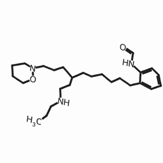 CCCNCCC(CCCCCCc1ccccc1NC=O)CCCN1CCCCO1